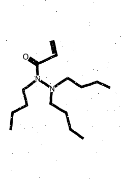 C=CC(=O)N(CCCC)N(CCCC)CCCC